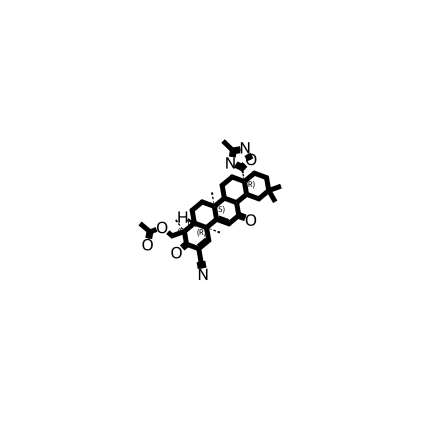 CC(=O)OC[C@]1(C)C(=O)C(C#N)=C[C@]2(C)C3=CC(=O)C4C5CC(C)(C)CC[C@]5(c5nc(C)no5)CCC4[C@]3(C)CC[C@H]21